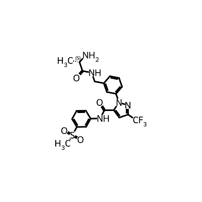 C[C@H](N)C(=O)NCc1cccc(-n2nc(C(F)(F)F)cc2C(=O)Nc2cccc(S(C)(=O)=O)c2)c1